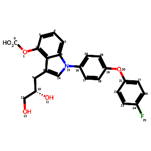 O=C(O)Oc1cccc2c1c(C[C@H](O)CO)cn2-c1ccc(Oc2ccc(F)cc2)cc1